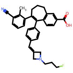 Cc1c(C#N)cccc1C1=C(c2ccc(C=C3CN(CCCF)C3)cc2)c2ccc(C(=O)O)cc2CCC1